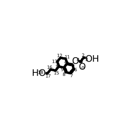 O=C(CO)Oc1cccc2c1CCCC2CCCO